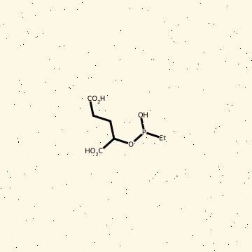 CCP(O)OC(CCC(=O)O)C(=O)O